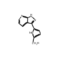 O=C(O)c1ccc(-c2n[nH]c3ncccc23)[nH]1